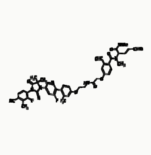 CNC(=O)C(CCC=O)N(C)C(=O)c1ccc(OCC(=O)NCCOc2ccc(-c3ncc(N4C(=S)N(c5ccc(C#N)c(C(F)(F)F)c5F)C(=O)C4(C)C)cc3F)c(C(F)(F)F)c2)cc1C=O